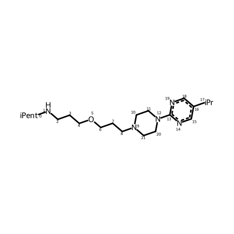 CCCC(C)NCCCOCCCN1CCN(c2ncc(C(C)C)cn2)CC1